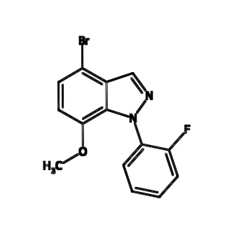 COc1ccc(Br)c2cnn(-c3ccccc3F)c12